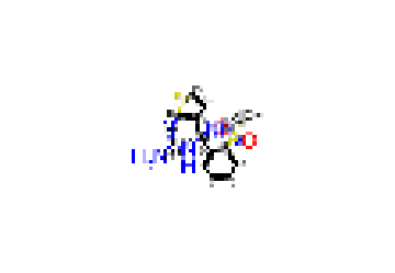 CC(C)S(=O)(=O)c1ccccc1C1(N)NC(N)=Nc2sccc21